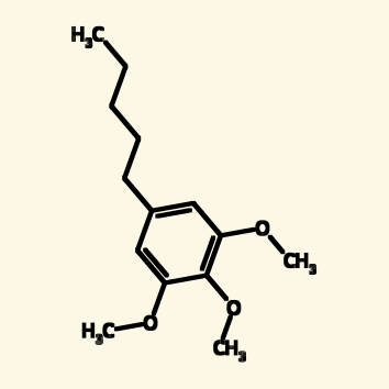 CCCCCc1cc(OC)c(OC)c(OC)c1